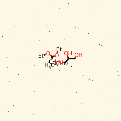 CC=O.CCOC(C)OCC.OCC(O)CO